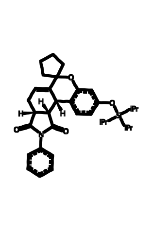 CC(C)[Si](Oc1ccc2c(c1)OC1(CCCC1)C1=CC[C@H]3C(=O)N(c4ccccc4)C(=O)[C@H]3[C@H]12)(C(C)C)C(C)C